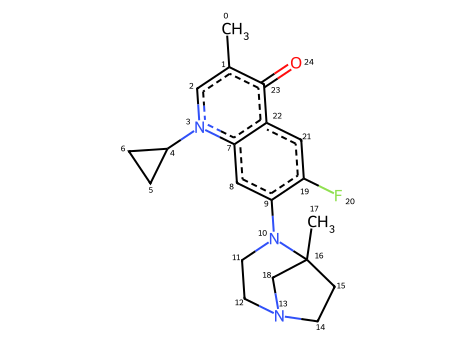 Cc1cn(C2CC2)c2cc(N3CCN4CCC3(C)C4)c(F)cc2c1=O